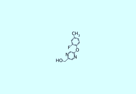 Cc1ccc(Oc2cnc(CO)cn2)c(F)c1